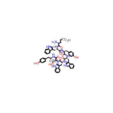 N[C@@H](CCC(=O)O)C(=O)N[C@@H](Cc1c[nH]c2ccccc12)C(=O)N[C@@H](Cc1ccc(O)cc1)C(=O)N[C@@H](Cc1c[nH]c2ccccc12)C(=O)N[C@@H](Cc1c[nH]c2ccccc12)C(=O)N[C@@H](CO)C(=O)N[C@@H](Cc1ccc(O)cc1)C(=O)O